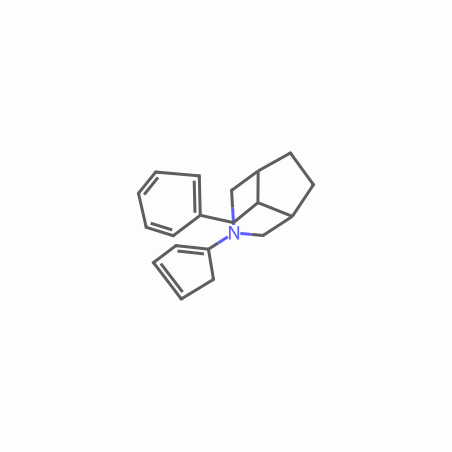 C1=CCC(N2CC3CCC(C2)C3Cc2ccccc2)=C1